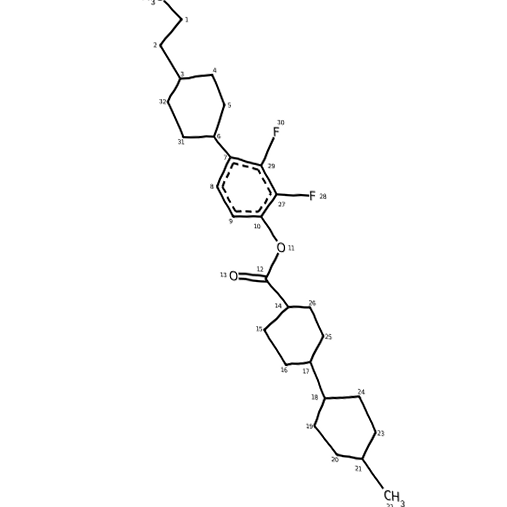 CCCC1CCC(c2ccc(OC(=O)C3CCC(C4CCC(C)CC4)CC3)c(F)c2F)CC1